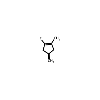 C=C1CC(C)=C(F)C1